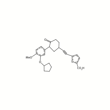 COc1ccc(C2CC(C#Cc3ccc(C(=O)O)s3)CCC2=O)cc1OC1CCCC1